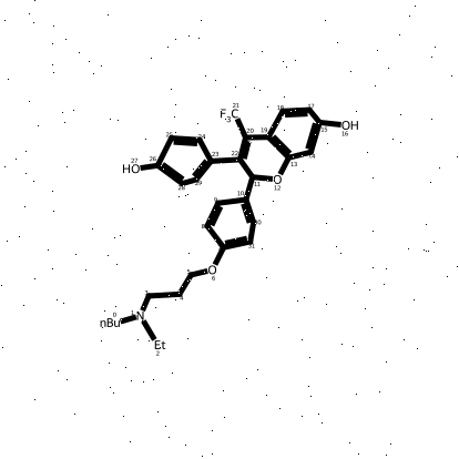 CCCCN(CC)CCCOc1ccc(C2Oc3cc(O)ccc3C(C(F)(F)F)=C2c2ccc(O)cc2)cc1